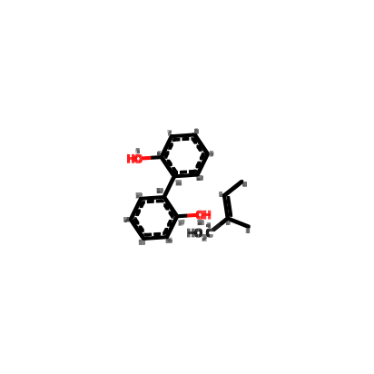 CC=C(C)C(=O)O.Oc1ccccc1-c1ccccc1O